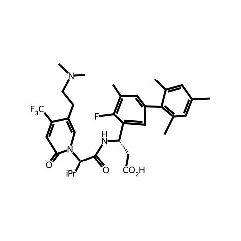 Cc1cc(C)c(-c2cc(C)c(F)c([C@H](CC(=O)O)NC(=O)C(C(C)C)n3cc(CCN(C)C)c(C(F)(F)F)cc3=O)c2)c(C)c1